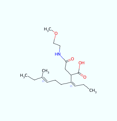 CC/C=C(/CC/C=C(\C)CC)C(CC(=O)NCCOC)C(=O)O